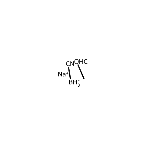 CC=O.[BH3-]C#N.[Na+]